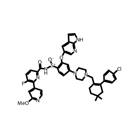 COc1cc(-c2nc(C(=O)N[S+]([O-])c3ccc(N4CCN(CC5=C(c6ccc(Cl)cc6)CC(C)(C)CC5)CC4)cc3Oc3cnc4[nH]ccc4c3)ccc2F)ccn1